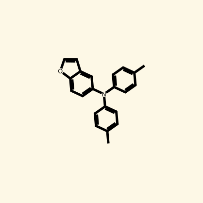 Cc1ccc(N(c2ccc(C)cc2)c2ccc3occc3c2)cc1